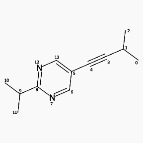 CC(C)C#Cc1cnc(C(C)C)nc1